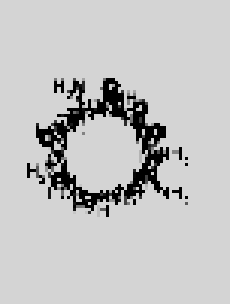 C[C@@H](O)[C@@H]1NC(=O)[C@H](CCCCN)NC(=O)C(Cc2c[nH]c3ccccc23)NC(=O)[C@H](Cc2ccccc2)NC(=O)C(Cc2ccccc2)NC(=O)[C@H](CC(N)=O)NC(=O)C(CCCCN)NC(=O)[C@H](CS)NCCN[C@@H](CS)C(=O)C(=O)[C@H](CO)NC(=O)[C@H]([C@@H](C)O)NC(=O)[C@H](Cc2ccccc2)NC1=O